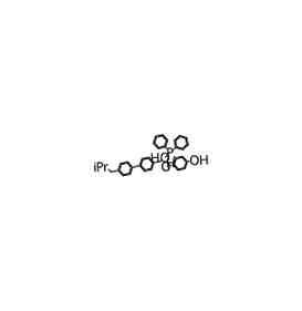 CC(C)Cc1ccc(-c2ccc(COc3ccc(O)cc3[PH](O)(c3ccccc3)c3ccccc3)cc2)cc1